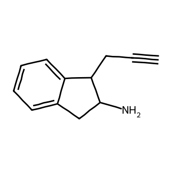 C#CCC1c2ccccc2CC1N